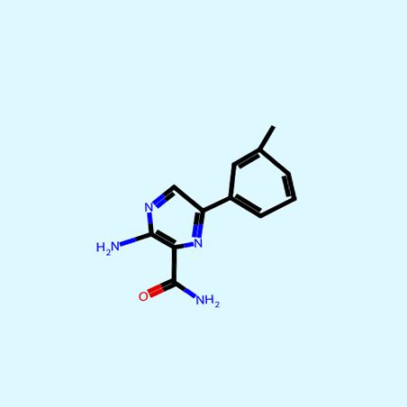 Cc1cccc(-c2cnc(N)c(C(N)=O)n2)c1